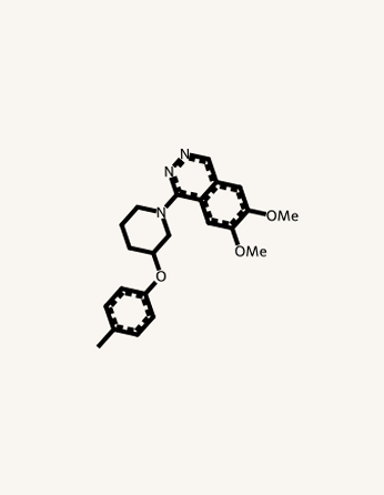 COc1cc2cnnc(N3CCCC(Oc4ccc(C)cc4)C3)c2cc1OC